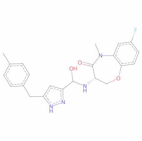 Cc1ccc(Cc2cc(C(O)N[C@H]3COc4ccc(F)cc4N(C)C3=O)n[nH]2)cc1